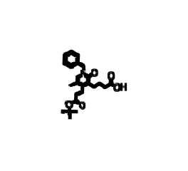 Cc1cn(Cc2ccccc2)c(=O)c(CCCC(=O)O)c1C=CC(=O)OC(C)(C)C